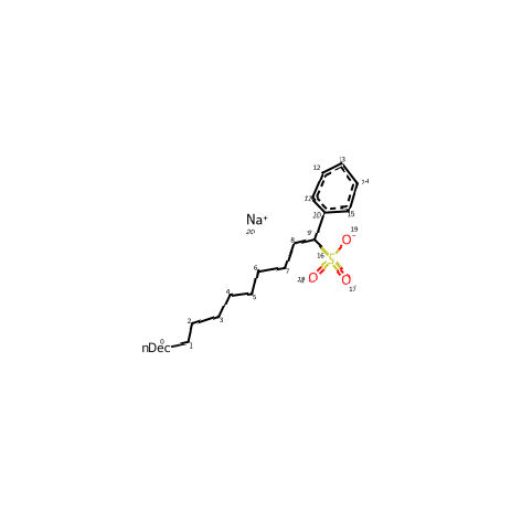 CCCCCCCCCCCCCCCCCCC(c1ccccc1)S(=O)(=O)[O-].[Na+]